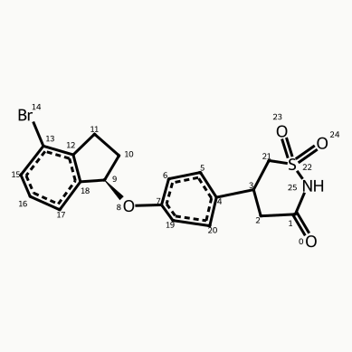 O=C1CC(c2ccc(O[C@@H]3CCc4c(Br)cccc43)cc2)CS(=O)(=O)N1